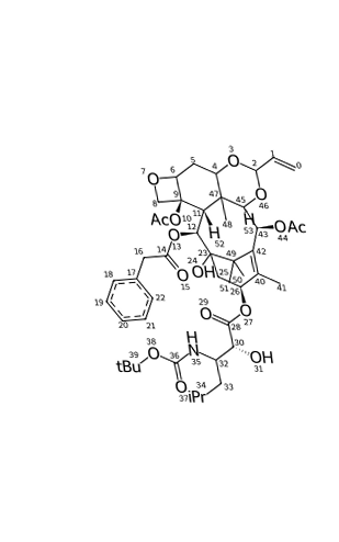 C=CC1OC2CC3OC[C@@]3(OC(C)=O)[C@H]3[C@H](OC(=O)Cc4ccccc4)C4(O)C[C@H](OC(=O)[C@H](O)C(CC(C)C)NC(=O)OC(C)(C)C)C(C)=C([C@H](OC(C)=O)[C@H](O1)C23C)C4(C)C